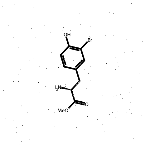 COC(=O)[C@@H](N)Cc1ccc(O)c(Br)c1